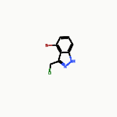 ClCc1n[nH]c2cccc(Br)c12